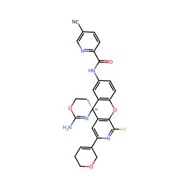 N#Cc1ccc(C(=O)Nc2ccc3c(c2)[C@@]2(CCOC(N)=N2)c2cc(C4=CCCOC4)nc(F)c2O3)nc1